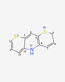 C1=CSC2=CC3=C(C=CCS3)NC2=C1